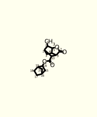 CC1C2CC3C1OC(=O)C3C2C(=O)OC1CC2CCC1C2